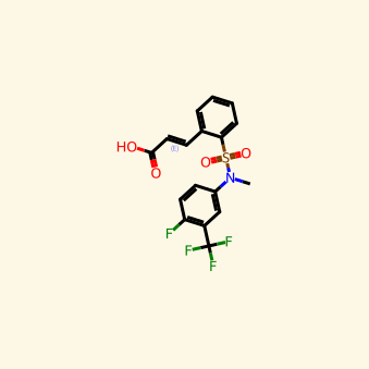 CN(c1ccc(F)c(C(F)(F)F)c1)S(=O)(=O)c1ccccc1/C=C/C(=O)O